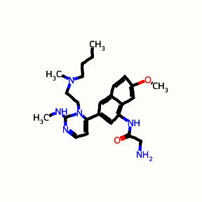 CCCCN(C)CCN1C(c2cc(NC(=O)CN)c3cc(OC)ccc3c2)=CC=NC1NC